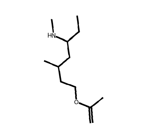 C=C(C)OCCC(C)CC(CC)NC